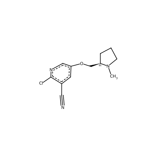 CN1CCC[C@@H]1COc1cnc(Cl)c(C#N)c1